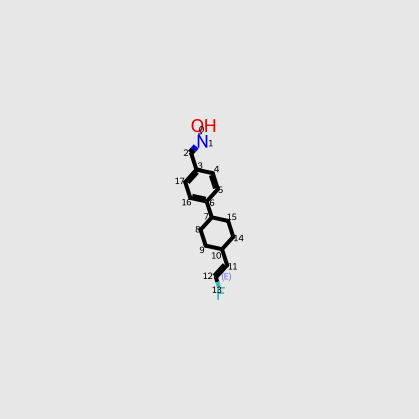 ON=Cc1ccc(C2CCC(/C=C/F)CC2)cc1